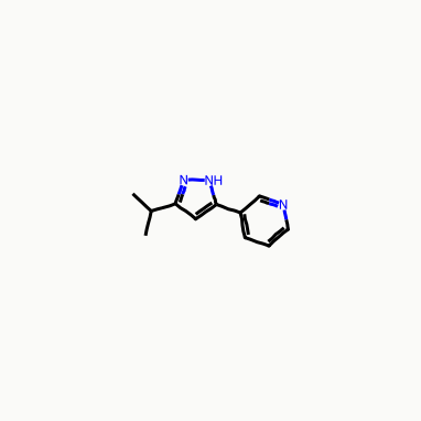 CC(C)c1cc(-c2cccnc2)[nH]n1